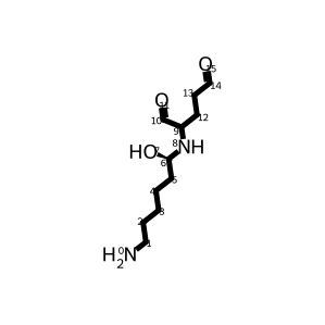 NCCCCC[C@@H](O)NC(C=O)CCC=O